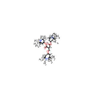 CN1C(C)(C)CC(OCC(CC(=O)OC2CC(C)(C)N(C)C(C)(C)C2)C(=O)OC2CC(C)(C)N(C)C(C)(C)C2)CC1(C)C